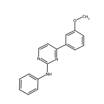 COc1cccc(-c2ccnc(Nc3ccccc3)n2)c1